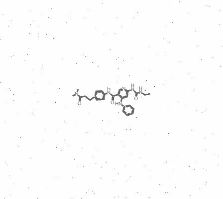 CCNC(=O)Nc1cc(Nc2ccccc2)c(C(=O)Nc2ccc(CCC(=O)N(C)C)cc2)cn1